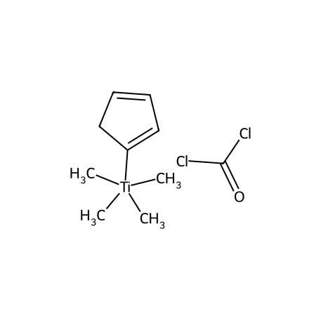 O=C(Cl)Cl.[CH3][Ti]([CH3])([CH3])([CH3])[C]1=CC=CC1